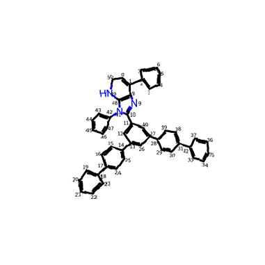 C1=C(c2ccccc2)c2nc(-c3cc(-c4ccc(-c5ccccc5)cc4)cc(-c4ccc(-c5ccccc5)cc4)c3)n(-c3ccccc3)c2NC1